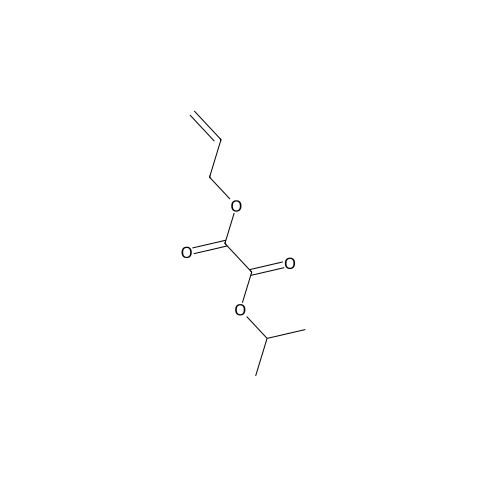 C=CCOC(=O)C(=O)OC(C)C